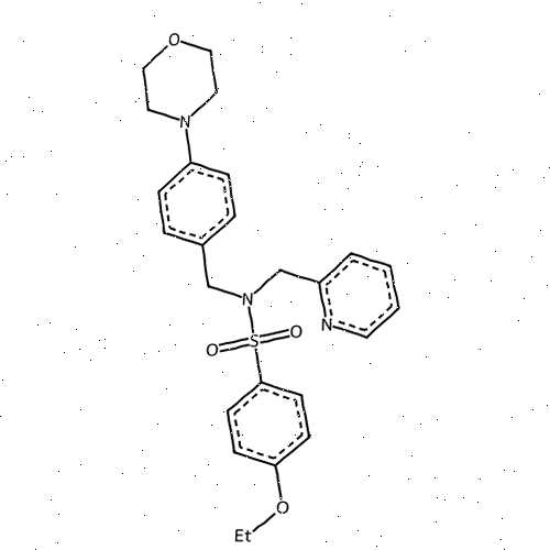 CCOc1ccc(S(=O)(=O)N(Cc2ccc(N3CCOCC3)cc2)Cc2ccccn2)cc1